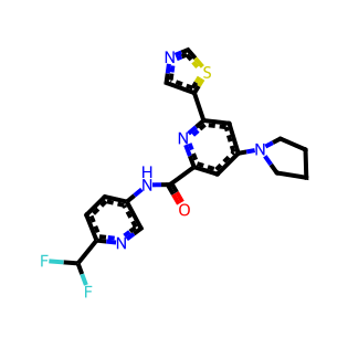 O=C(Nc1ccc(C(F)F)nc1)c1cc(N2CCCC2)cc(-c2cncs2)n1